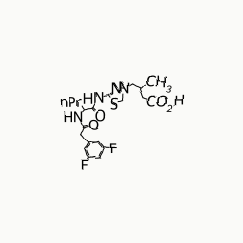 CCCC(NC(=O)Cc1cc(F)cc(F)c1)C(=O)NC1=NN(CC(C)CC(=O)O)CS1